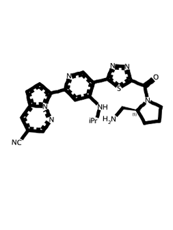 CC(C)Nc1cc(-c2ccc3cc(C#N)cnn23)ncc1-c1nnc(C(=O)N2CCC[C@H]2CN)s1